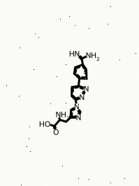 N=C(N)c1ccc(-c2ccc(-n3cnc(CC(N)C(=O)O)c3)nn2)cc1